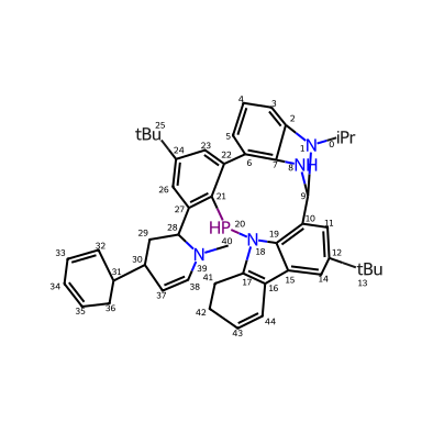 CC(C)N1c2cccc3c2NC1c1cc(C(C)(C)C)cc2c4c(n(c12)Pc1c-3cc(C(C)(C)C)cc1C1CC(C2C=CC=CC2)C=CN1C)CCC=C4